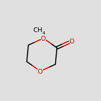 C.O=C1COCCO1